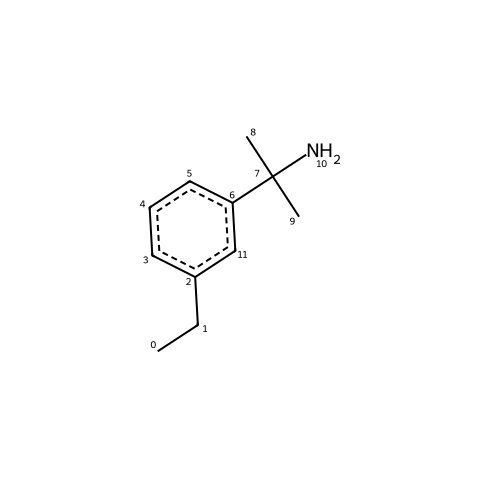 CCc1cccc(C(C)(C)N)c1